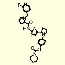 O=C(Nc1nc([C@H]2CCCN2c2ccc(OC(=O)N3CCCCC3)cc2)cs1)c1cccn1Cc1ccnc(F)c1